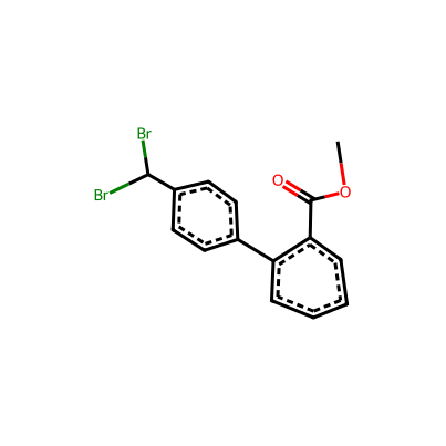 COC(=O)c1ccccc1-c1ccc(C(Br)Br)cc1